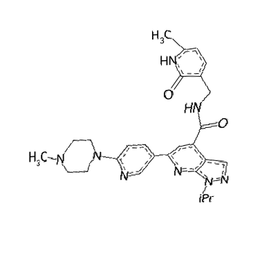 Cc1ccc(CNC(=O)c2cc(-c3ccc(N4CCN(C)CC4)nc3)nc3c2cnn3C(C)C)c(=O)[nH]1